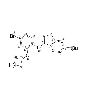 CC(C)(C)c1ccc2c(c1)CCC2Oc1ccc(Br)cc1OC1CNC1